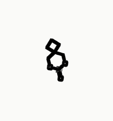 O=[P]1OCC2(CCC2)CO1